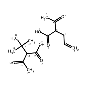 C=CCC(C(C)=O)C(=O)O.CC(=O)C(C(=O)O)C(C)(C)C